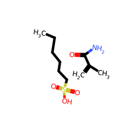 C=C(C)C(N)=O.CCCCCCS(=O)(=O)O